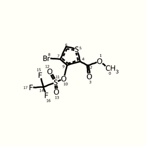 COC(=O)c1scc(Br)c1OS(=O)(=O)C(F)(F)F